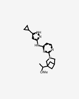 COC(C)C12CC(CN(c3nccc(Nc4cc(C5CC5)[nH]n4)n3)C1)C2